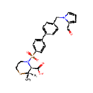 CC1(C)SCCN(S(=O)(=O)c2ccc(-c3ccc(Cn4cccc4C=O)cc3)cc2)C1C(=O)O